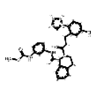 COC(=O)Nc1cccc(NC(=O)[C@@H]2c3ccccc3CCN2C(=O)CCc2cc(Cl)ccc2-n2cnnn2)c1